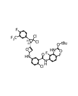 CC(C)(C)OC(=O)Nc1c(F)ccc(NC(=O)c2cc(NC3C=C([C@@H]4[C@@H](c5ccc(F)c(C(F)(F)F)c5)C4(Cl)Cl)O3)ccc2Cl)c1F